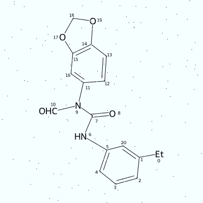 CCc1cccc(NC(=O)N(C=O)c2ccc3c(c2)OCO3)c1